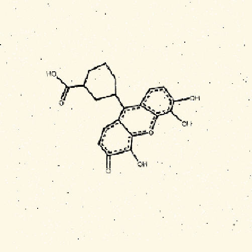 O=C(O)C1CCCC(c2c3ccc(=O)c(O)c-3oc3c(O)c(O)ccc23)C1